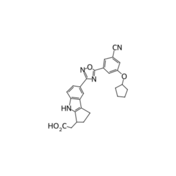 N#Cc1cc(OC2CCCC2)cc(-c2nc(-c3ccc4[nH]c5c(c4c3)CCC5CC(=O)O)no2)c1